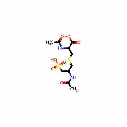 CC(=O)NC(CSCC(NC(C)=O)C(=O)O)CS(=O)(=O)O